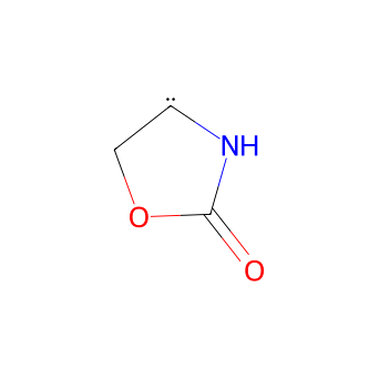 O=C1N[C]CO1